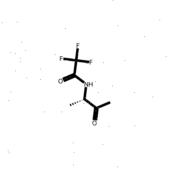 CC(=O)[C@H](C)NC(=O)C(F)(F)F